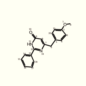 COc1ccc(Cc2cc(=O)[nH]c(-c3ccccc3)n2)cc1